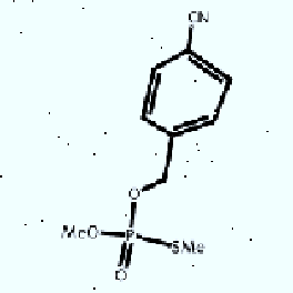 COP(=O)(OCc1ccc(C#N)cc1)SC